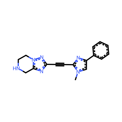 Cn1cc(-c2ccccc2)nc1C#Cc1nc2n(n1)CCNC2